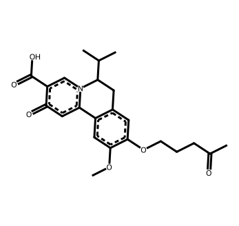 COc1cc2c(cc1OCCCC(C)=O)CC(C(C)C)n1cc(C(=O)O)c(=O)cc1-2